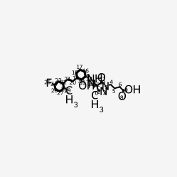 CC1=NN(CCCC(=O)O)C(=O)/C1=N\Nc1cccc(/C=C/c2cc(F)ccc2C)c1O